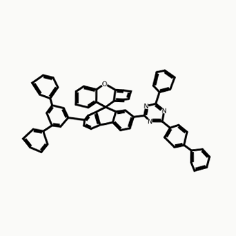 c1ccc(-c2ccc(-c3nc(-c4ccccc4)nc(-c4ccc5c(c4)C4(c6ccccc6Oc6ccccc64)c4cc(-c6cc(-c7ccccc7)cc(-c7ccccc7)c6)ccc4-5)n3)cc2)cc1